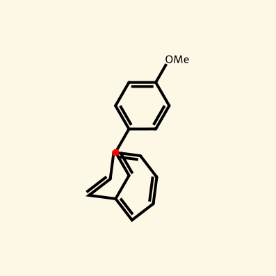 COc1ccc(/C=C/C2=C\C=C/C=C\C=C\2)cc1